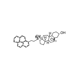 C=C(CCc1ccc2ccc3cccc4ccc1c2c34)[C@H]1CC[C@H]2[C@@H]3CC=C4C[C@@H](O)CC[C@]4(C)[C@H]3CC[C@]12C